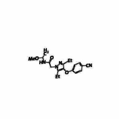 CCc1nn(CC(=O)NC(C)OC)c(CC)c1Oc1ccc(C#N)cc1